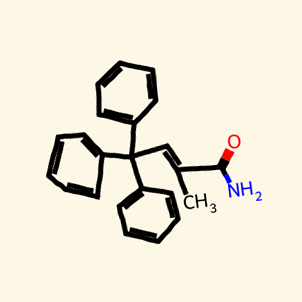 CC(=CC(c1ccccc1)(c1ccccc1)c1ccccc1)C(N)=O